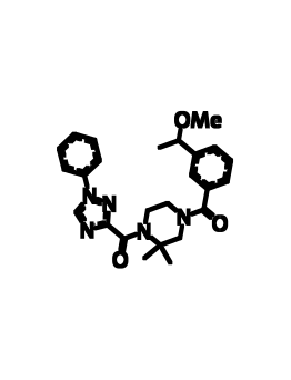 COC(C)c1cccc(C(=O)N2CCN(C(=O)c3ncn(-c4ccccc4)n3)C(C)(C)C2)c1